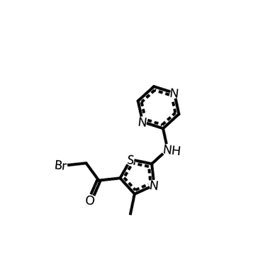 Cc1nc(Nc2cnccn2)sc1C(=O)CBr